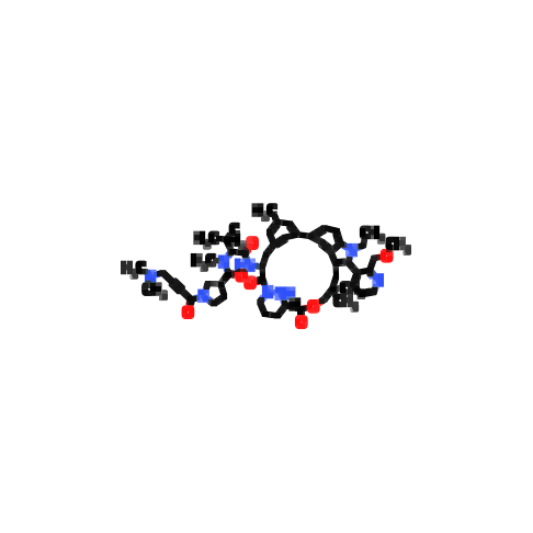 CCn1c(-c2cccnc2COC)c2c3cc(ccc31)-c1cc(C)cc(c1)C[C@H](NC(=O)[C@H](C(C)C)N(C)C(=O)[C@H]1CCN(C(=O)C#CCN(C)C)C1)C(=O)N1CCC[C@H](N1)C(=O)OCC(C)(C)C2